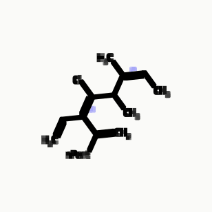 C=C/C(C(=C)CCCCC)=C(\Cl)C(C)/C(C)=C\C